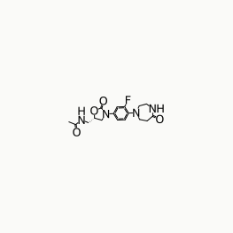 CC(=O)NC[C@H]1CN(c2ccc(N3CCNC(=O)CC3)c(F)c2)C(=O)O1